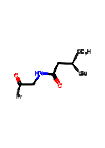 CC(C)C(=O)CNC(=O)CC(C(=O)O)C(C)(C)C